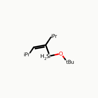 CC(C)C=C([SiH2]OC(C)(C)C)C(C)C